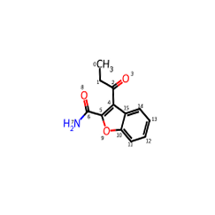 CCC(=O)c1c(C(N)=O)oc2ccccc12